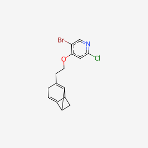 Clc1cc(OCCC2=C3C4CC3C4=CC2)c(Br)cn1